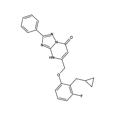 O=c1cc(COc2cccc(F)c2CC2CC2)[nH]c2nc(-c3ccccc3)nn12